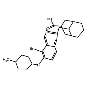 CC1CCC(Oc2ccc3cc(CN4C5CCCC4CC(C(=O)O)C5)ncc3c2Br)CC1